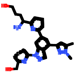 Cc1cc(-c2cc(-c3cccc(C(N)CCCO)n3)cc3c2cnn3-c2cccc(CO)n2)nn1C